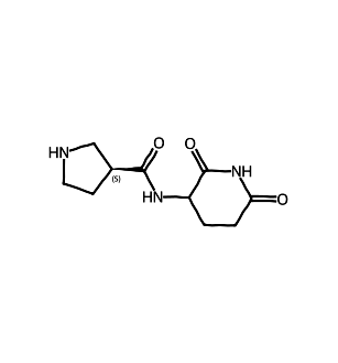 O=C1CCC(NC(=O)[C@H]2CCNC2)C(=O)N1